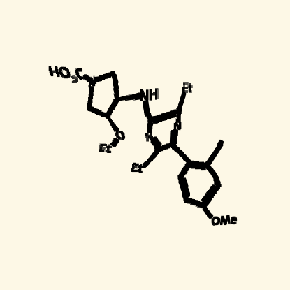 CCO[C@H]1CN(C(=O)O)C[C@H]1Nc1nc(CC)c(-c2ccc(OC)cc2C)nc1CC